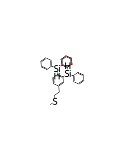 CSCCc1ccc([SiH](c2ccccc2)c2ccccc2)c([SiH](c2ccccc2)c2ccccc2)c1